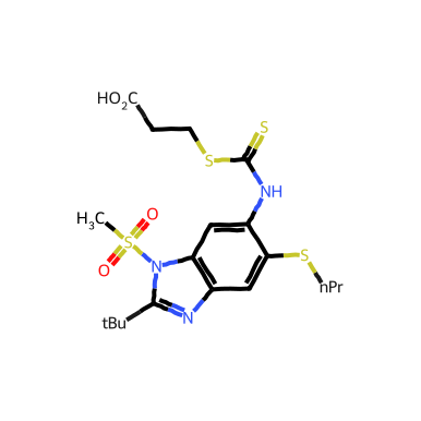 CCCSc1cc2nc(C(C)(C)C)n(S(C)(=O)=O)c2cc1NC(=S)SCCC(=O)O